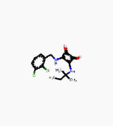 CCC(C)(C)Nc1c(NCc2cccc(Cl)c2Cl)c(=O)c1=O